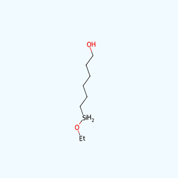 CCO[SiH2]CCCCCCO